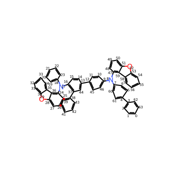 c1ccc(-c2ccc(N(c3ccc(-c4ccc(N(c5ccccc5)c5cccc6oc7ccccc7c56)c(-c5ccccc5)c4)cc3)c3cccc4oc5ccccc5c34)cc2)cc1